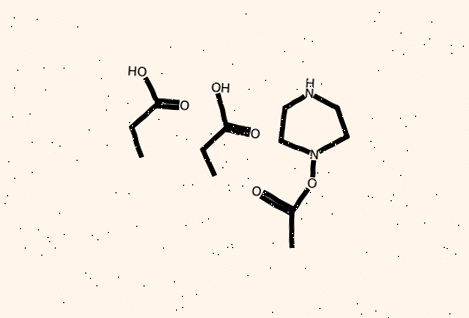 CC(=O)ON1CCNCC1.CCC(=O)O.CCC(=O)O